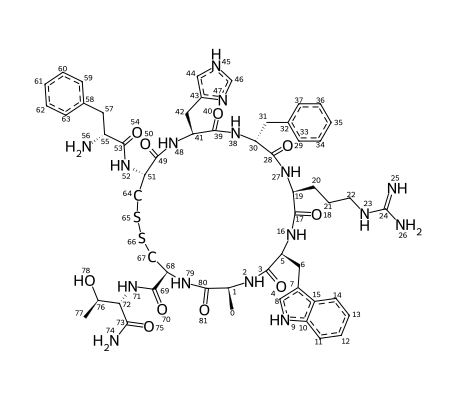 C[C@@H]1NC(=O)[C@H](Cc2c[nH]c3ccccc23)NC(=O)[C@H](CCCNC(=N)N)NC(=O)[C@@H](Cc2ccccc2)NC(=O)[C@H](Cc2c[nH]cn2)NC(=O)[C@@H](NC(=O)[C@H](N)Cc2ccccc2)CSSC[C@H](C(=O)N[C@H](C(N)=O)[C@@H](C)O)NC1=O